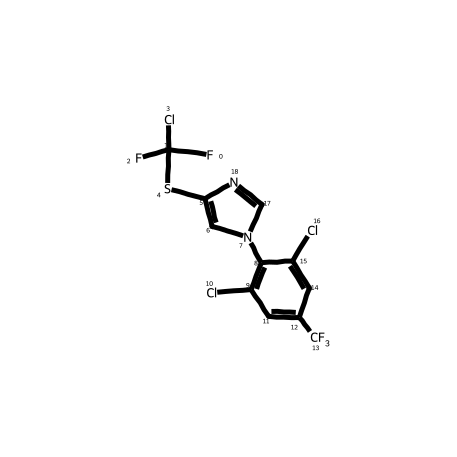 FC(F)(Cl)Sc1cn(-c2c(Cl)cc(C(F)(F)F)cc2Cl)cn1